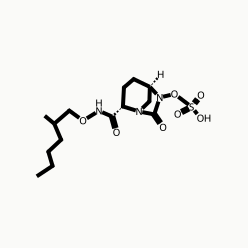 CCCCC(C)CONC(=O)[C@@H]1CC[C@@H]2CN1C(=O)N2OS(=O)(=O)O